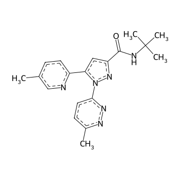 Cc1ccc(-c2cc(C(=O)NC(C)(C)C)nn2-c2ccc(C)nn2)nc1